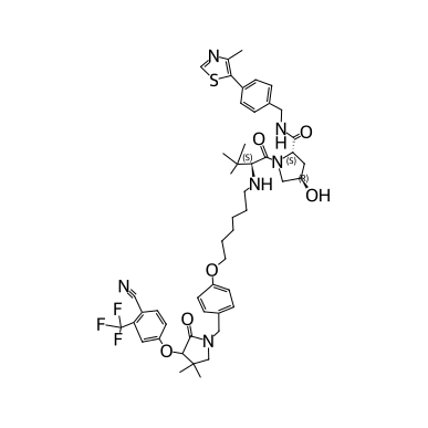 Cc1ncsc1-c1ccc(CNC(=O)[C@@H]2C[C@@H](O)CN2C(=O)[C@@H](NCCCCCCOc2ccc(CN3CC(C)(C)C(Oc4ccc(C#N)c(C(F)(F)F)c4)C3=O)cc2)C(C)(C)C)cc1